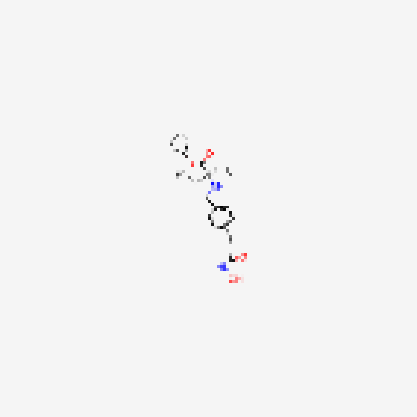 CC(C)C[C@@](C)(NCc1ccc(CCC(=O)NO)cc1)C(=O)OC1CCCC1